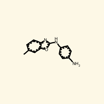 Cc1ccc2nc(Nc3ccc(N)cc3)oc2c1